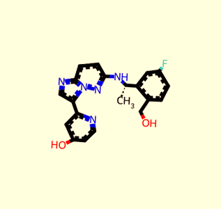 C[C@H](Nc1ccc2ncc(-c3cc(O)ccn3)n2n1)c1cc(F)ccc1CO